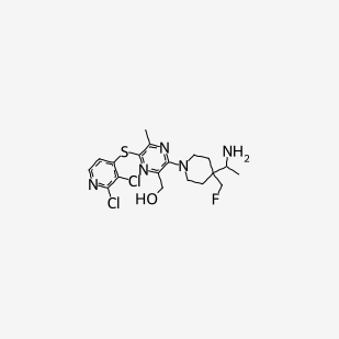 Cc1nc(N2CCC(CF)(C(C)N)CC2)c(CO)nc1Sc1ccnc(Cl)c1Cl